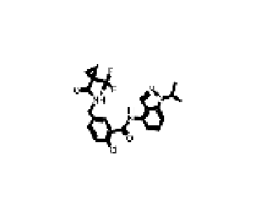 CC(C)n1ncc2c(NC(=O)c3cc(CNC(=O)C4(C(F)(F)F)CC4)ccc3Cl)cccc21